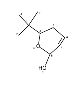 CC(C)(C)C1CC=CC(O)O1